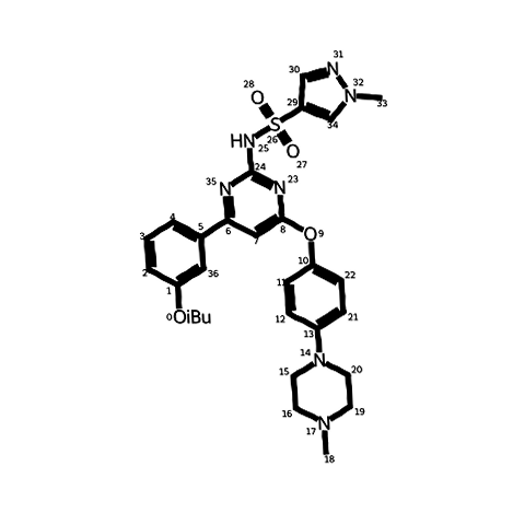 CC(C)COc1cccc(-c2cc(Oc3ccc(N4CCN(C)CC4)cc3)nc(NS(=O)(=O)c3cnn(C)c3)n2)c1